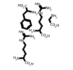 N=C(N)NCCCC(N)C(=O)O.N=C(N)NCCCC(N)C(=O)O.NC(Cc1ccccc1)C(=O)O.NCC(=O)O